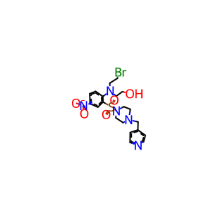 O=[N+]([O-])c1ccc(N(CCO)CCBr)c(S(=O)(=O)N2CCN(Cc3ccncc3)CC2)c1